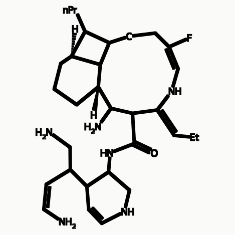 CC/C=C1\N/C=C(/F)CCC2C(CCC)[C@@H]3CCC[C@@H](C(N)C1C(=O)NC1CNC=CC1C(/C=C\N)CN)C23